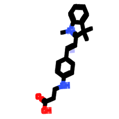 C[N+]1=C(/C=C/C2C=CC(NCCC(=O)O)=CC2)C(C)(C)c2ccccc21